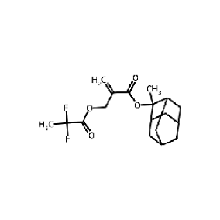 C=C(COC(=O)C(C)(F)F)C(=O)OC1(C)C2CC3CC(C2)CC1C3